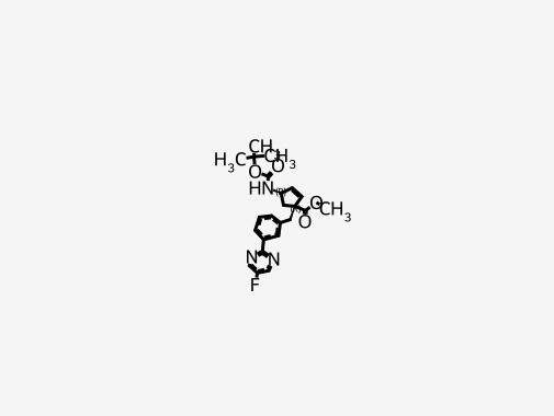 COC(=O)[C@@]1(Cc2cccc(-c3ncc(F)cn3)c2)C=C[C@H](NC(=O)OC(C)(C)C)C1